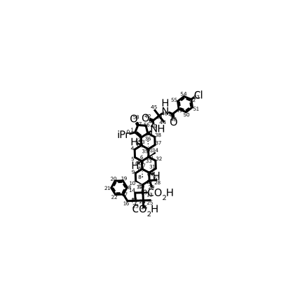 CC(C)C1=C2[C@H]3CC[C@@H]4[C@]5(C)CC[C@H]([C@@]6(C(=O)O)C[C@@](Cc7ccccc7)(C(=O)O)C6(C)C)C(C)(C)[C@H]5CC[C@@]4(C)[C@]3(C)CC[C@@]2(NC(=O)C(C)(C)NC(=O)c2ccc(Cl)cc2)CC1=O